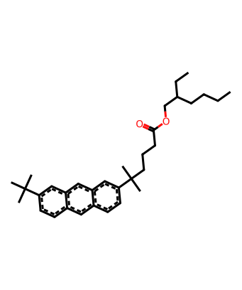 CCCCC(CC)COC(=O)CCCC(C)(C)c1ccc2cc3ccc(C(C)(C)C)cc3cc2c1